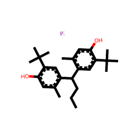 CCCC(c1cc(C(C)(C)C)c(O)cc1C)c1cc(C(C)(C)C)c(O)cc1C.[P]